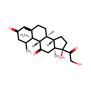 CC1CC(=O)C=C2CC[C@H]3[C@@H]4CC[C@](O)(C(=O)CO)[C@@]4(C)CC(=O)[C@@H]3[C@]21C